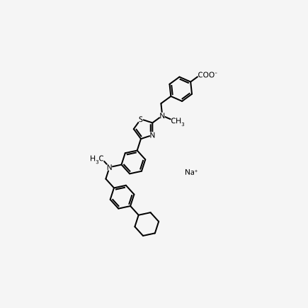 CN(Cc1ccc(C2CCCCC2)cc1)c1cccc(-c2csc(N(C)Cc3ccc(C(=O)[O-])cc3)n2)c1.[Na+]